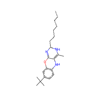 CCCCCCCC1N=C2Oc3cc(C(C)(C)C)ccc3NC2=C(C)N1